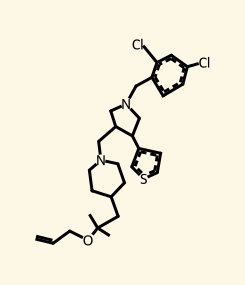 C=CCOC(C)(C)CC1CCN(CC2CN(Cc3ccc(Cl)cc3Cl)CC2c2ccsc2)CC1